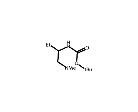 CCC(CNC)NC(=O)OC(C)(C)C